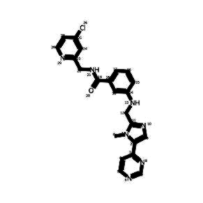 Cn1c(-c2ccncn2)cnc1CNc1cccc(C(=O)NCc2cc(Cl)ccn2)c1